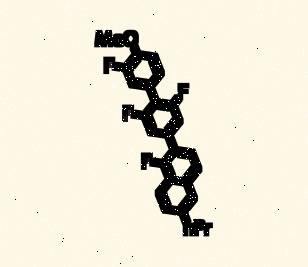 CCCc1ccc2c(F)c(-c3cc(F)c(-c4ccc(OC)c(F)c4)c(F)c3)ccc2c1